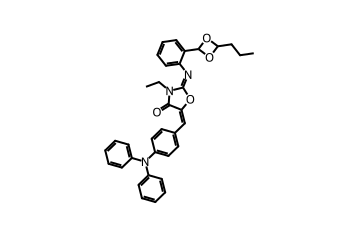 CCCC1OC(c2ccccc2/N=C2/O/C(=C/c3ccc(N(c4ccccc4)c4ccccc4)cc3)C(=O)N2CC)O1